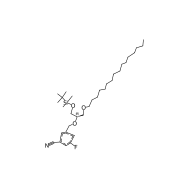 CCCCCCCCCCCCCCCCOC[C@H](CO[Si](C)(C)C(C)(C)C)OCc1cc(F)cc(C#N)c1